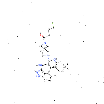 Cc1ccc2[nH]ncc2c1-c1c(C#N)c(N2CCC3(CN(C(=O)/C=C/CF)C3)C2)nc2c1CCC(C)(C)C2